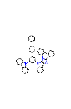 c1ccc(-c2ccc(-c3cc(-n4c5ccccc5c5ccccc54)cc(-n4c5ccccc5c5nc6c7ccccc7c7ccccc7n6c54)c3)cc2)cc1